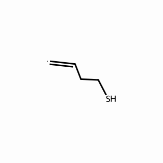 [CH]=CCCS